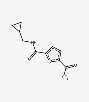 O=C(NCC1CC1)c1ccc(C(=O)C(F)(F)F)s1